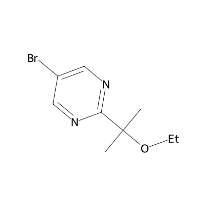 CCOC(C)(C)c1ncc(Br)cn1